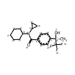 C[C@@](O)(c1ccc(C(=O)N(C2CCCCC2)C2CC2)cc1)C(F)(F)F